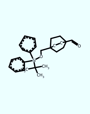 CC(C)(C)[Si](OCC12CCC(C=O)(CC1)CC2)(c1ccccc1)c1ccccc1